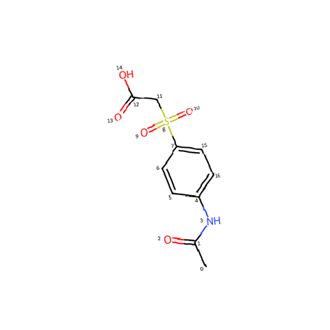 CC(=O)Nc1ccc(S(=O)(=O)CC(=O)O)cc1